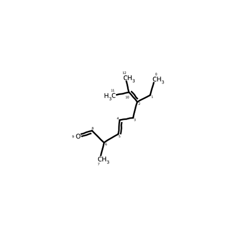 CCC(CC=CC(C)C=O)=C(C)C